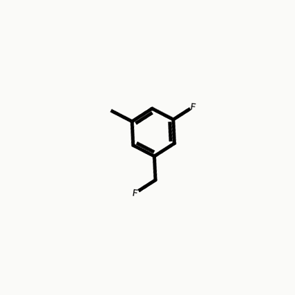 Cc1cc(F)cc(CF)c1